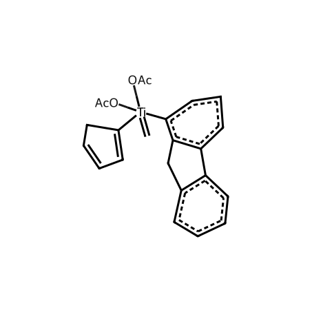 [CH2]=[Ti]([O]C(C)=O)([O]C(C)=O)([C]1=CC=CC1)[c]1cccc2c1Cc1ccccc1-2